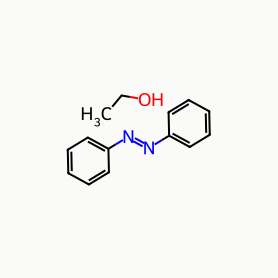 CCO.c1ccc(N=Nc2ccccc2)cc1